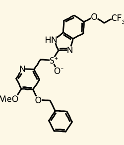 COc1cnc(C[S+]([O-])c2nc3cc(OCC(F)(F)F)ccc3[nH]2)cc1OCc1ccccc1